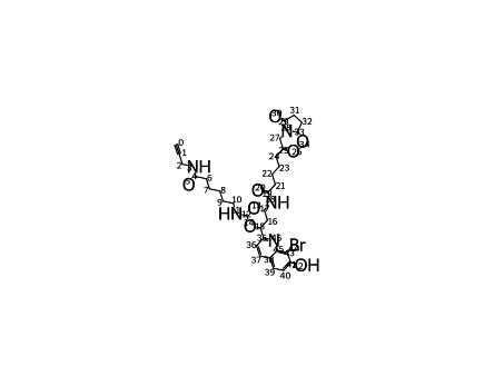 C#CCNC(=O)CCCCCNC(=O)OC(CCNC(=O)CCCCC(=O)CN1C(=O)CCC1=O)c1ccc2ccc(O)c(Br)c2n1